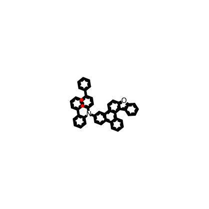 c1ccc(-c2ccc(N(c3ccc4c5ccccc5c5c(ccc6oc7ccccc7c65)c4c3)c3ccccc3-c3ccccc3)cc2)cc1